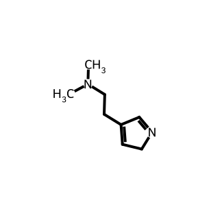 CN(C)CCC1=CCN=C1